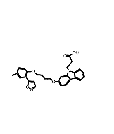 Cc1ccc(OCCCCOc2ccc3c4ccccc4n(CCC(=O)O)c3c2)c(-c2ccno2)c1